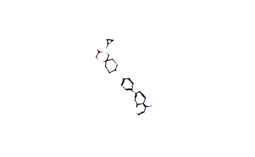 CNc1ccnc2cc(-c3ccc(S(=O)(=O)C4CCC5(CC4)CN(C4CC4)C(=O)CO5)cc3)ccc12